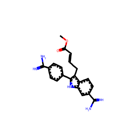 COC(=O)C=CCc1c(-c2ccc(C(=N)N)cc2)[nH]c2cc(C(=N)N)ccc12